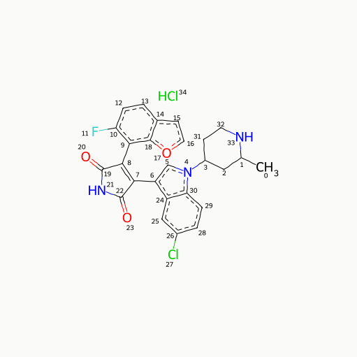 CC1CC(n2cc(C3=C(c4c(F)ccc5ccoc45)C(=O)NC3=O)c3cc(Cl)ccc32)CCN1.Cl